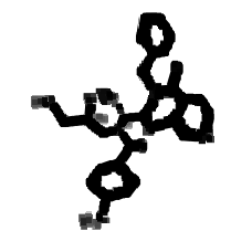 Cc1ccc(C(=O)N(C[C@H](F)CO)[C@@H](c2nc3cnccc3c(=O)n2Cc2ccccc2)C(C)C)cc1